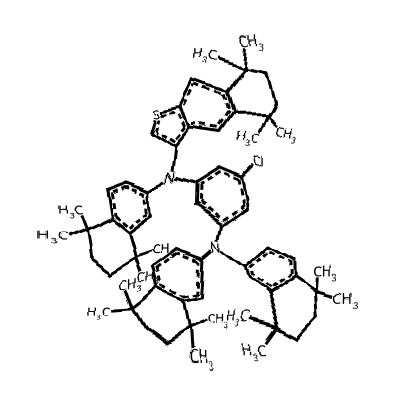 CC1(C)CCC(C)(C)c2cc(N(c3cc(Cl)cc(N(c4ccc5c(c4)C(C)(C)CCC5(C)C)c4csc5cc6c(cc45)C(C)(C)CCC6(C)C)c3)c3ccc4c(c3)C(C)(C)CCC4(C)C)ccc21